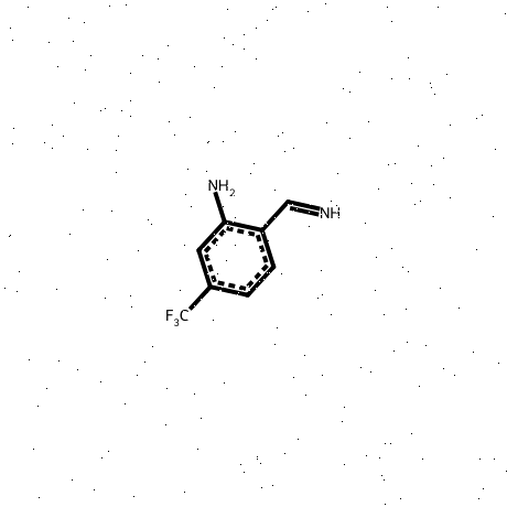 N=Cc1ccc(C(F)(F)F)cc1N